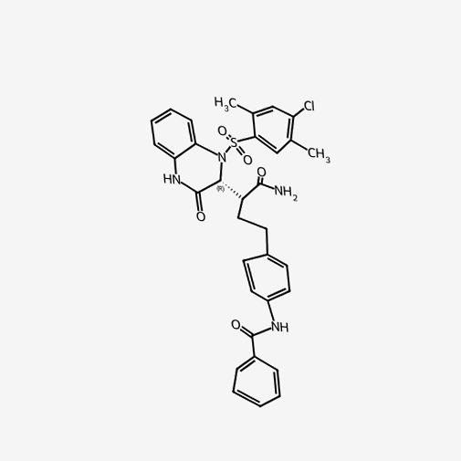 Cc1cc(S(=O)(=O)N2c3ccccc3NC(=O)[C@H]2C(CCc2ccc(NC(=O)c3ccccc3)cc2)C(N)=O)c(C)cc1Cl